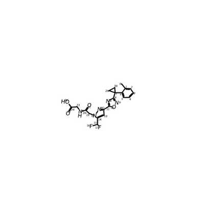 Cc1ccccc1C1(c2noc(-c3cc(C(F)F)n(CC(=O)NCC(=O)O)n3)n2)CC1